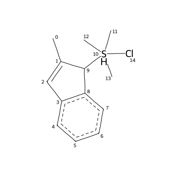 CC1=Cc2ccccc2C1[SH](C)(C)(C)Cl